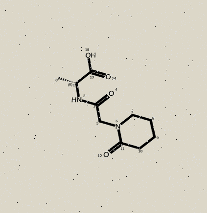 C[C@@H](NC(=O)CN1CCCCC1=O)C(=O)O